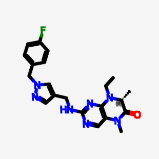 CCN1c2nc(NCc3cnn(Cc4ccc(F)cc4)c3)ncc2N(C)C(=O)[C@H]1C